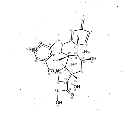 C[C@]12C=CC(=O)C=C1CC[C@@H]1[C@@H]2[C@@H](O)C[C@@]2(C)[C@H]1CC[C@]2(O)C(=O)CO.O=C(O)c1cccc(I)c1.[NaH]